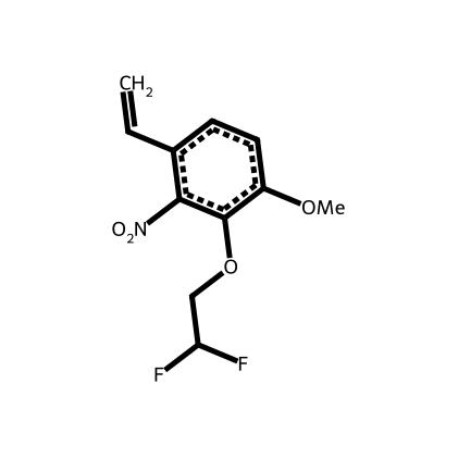 C=Cc1ccc(OC)c(OCC(F)F)c1[N+](=O)[O-]